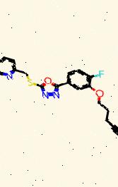 C#CCCCOc1cc(-c2nnc(SCc3ccccn3)o2)ccc1F